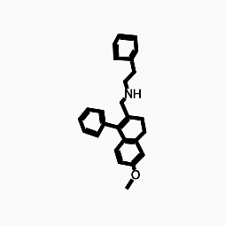 COc1ccc2c(c1)CCC(CNCCc1ccccc1)=C2c1ccccc1